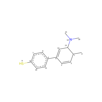 CC1C=CC(c2ccc(S)cc2)=CC1N(C)C